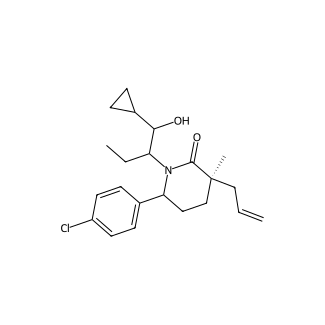 C=CC[C@@]1(C)CCC(c2ccc(Cl)cc2)N(C(CC)C(O)C2CC2)C1=O